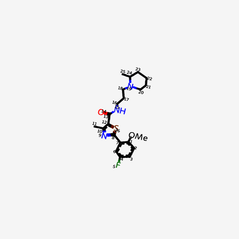 COc1ccc(F)cc1-c1nc(C)c(C(=O)NCCCN2CCCCC2C)s1